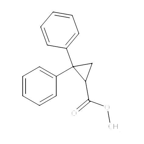 COC(=O)C1CC1(c1ccccc1)c1ccccc1